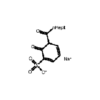 CCCCCCCC(=O)C1C=CC=C(S(=O)(=O)[O-])C1=O.[Na+]